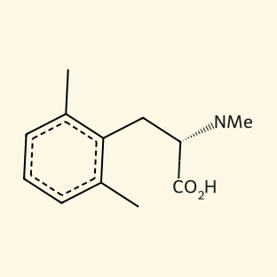 CN[C@@H](Cc1c(C)cccc1C)C(=O)O